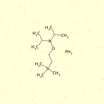 CC(C)N(OCC[Si](C)(C)C)C(C)C.P